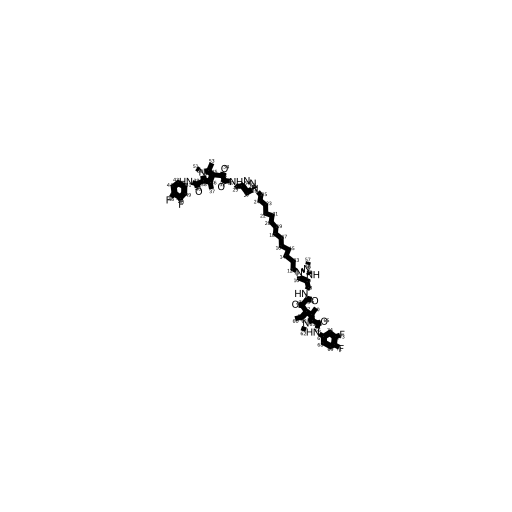 Cc1c(C(=O)C(=O)NCC2=CN(CCCCCCCCCCCCCCn3cc(CNC(=O)C(=O)c4c(C)c(C(=O)Nc5ccc(F)c(F)c5)n(C)c4C)nn3)N(C)N2)c(C)n(C)c1C(=O)Nc1ccc(F)c(F)c1